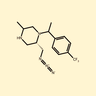 CC1CN(C(C)c2ccc(C(F)(F)F)cc2)[C@H](CN=[N+]=[N-])CN1